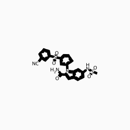 CS(=O)(=O)Nc1ccc2cc(C(N)=O)n(-c3cccc(S(=O)(=O)c4cccc(C#N)c4)c3)c2c1